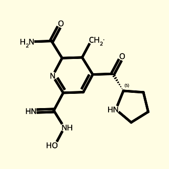 [CH2]C1C(C(=O)[C@@H]2CCCN2)=CC(C(=N)NO)=NC1C(N)=O